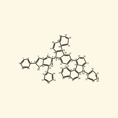 c1ccc(-c2cc3nc(-n4c5ccc(-c6cccc7c6c6c8ccccc8ccc6n7-c6ccncc6)cc5c5c6ccccc6ccc54)nc(-c4ccccc4)c3s2)cc1